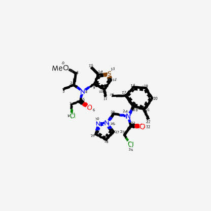 COCC(C)N(C(=O)CCl)c1c(C)csc1C.Cc1cccc(C)c1N(Cn1cccn1)C(=O)CCl